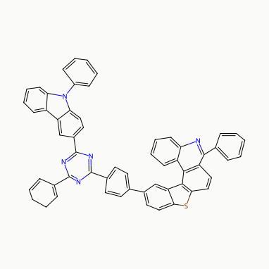 C1=CC(c2nc(-c3ccc(-c4ccc5sc6ccc7c(-c8ccccc8)nc8ccccc8c7c6c5c4)cc3)nc(-c3ccc4c(c3)c3ccccc3n4-c3ccccc3)n2)=CCC1